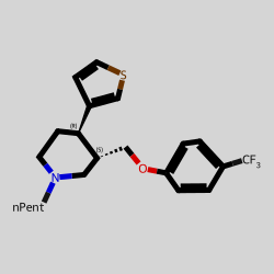 CCCCCN1CC[C@@H](c2ccsc2)[C@H](COc2ccc(C(F)(F)F)cc2)C1